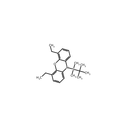 CCc1cccc2c1Oc1c(CC)cccc1N2[Si](C)(C)C(C)(C)C